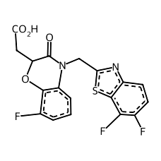 O=C(O)CC1Oc2c(F)cccc2N(Cc2nc3ccc(F)c(F)c3s2)C1=O